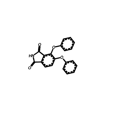 O=C1NC(=O)c2c1ccc(Oc1ccccc1)c2Oc1ccccc1